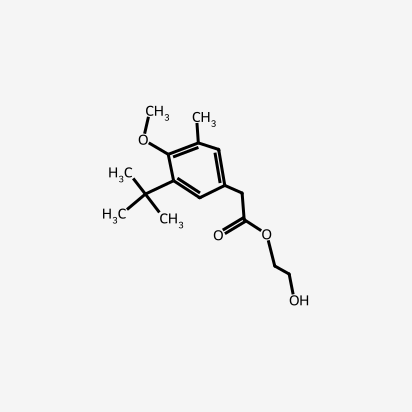 COc1c(C)cc(CC(=O)OCCO)cc1C(C)(C)C